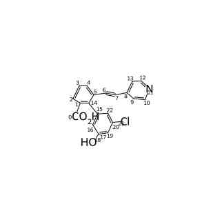 O=C(O)c1cccc(C#Cc2ccncc2)c1-c1cc(O)cc(Cl)c1